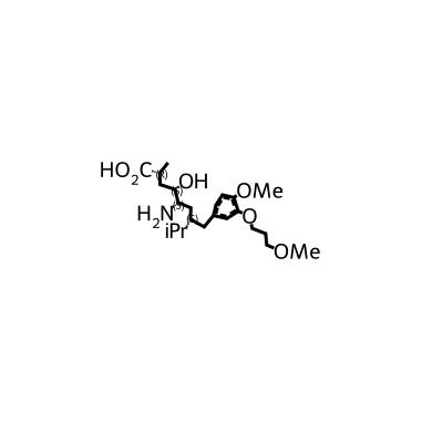 COCCCOc1cc(C[C@@H](C[C@H](N)[C@@H](O)C[C@@H](C)C(=O)O)C(C)C)ccc1OC